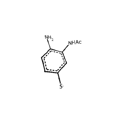 CC(=O)Nc1cc([S])ccc1N